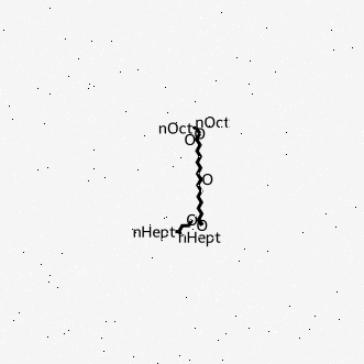 CCCCCCCCC(CCCCCCCC)OC(=O)CCCCCCC(=O)CCCCCCC(=O)OCCC(CCCCCCC)CCCCCCC